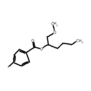 CCCCC(COC)OC(=O)c1ccc(I)cc1